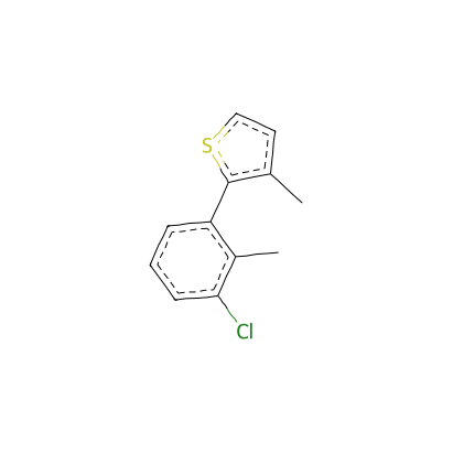 Cc1ccsc1-c1cccc(Cl)c1C